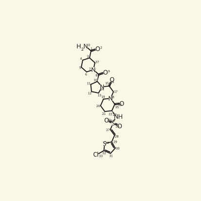 NC(=O)C1CCCN(C(=O)[C@@H]2CCCN2C(=O)CN2CCC[C@H](NS(=O)(=O)/C=C/c3ccc(Cl)s3)C2=O)C1